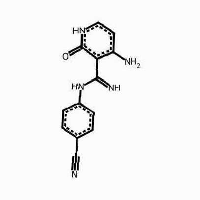 N#Cc1ccc(NC(=N)c2c(N)cc[nH]c2=O)cc1